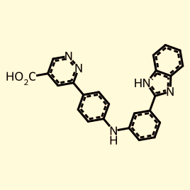 O=C(O)c1cnnc(-c2ccc(Nc3cccc(-c4nc5ccccc5[nH]4)c3)cc2)c1